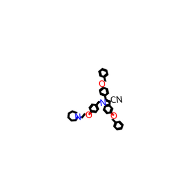 N#Cc1c(-c2ccc(OCc3ccccc3)cc2)n(Cc2ccc(OCCN3CCCCCC3)cc2)c2ccc(OCc3ccccc3)cc12